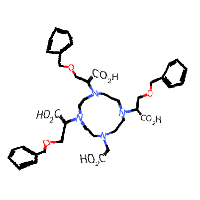 O=C(O)CN1CCN(C(COCc2ccccc2)C(=O)O)CCN(C(COCc2ccccc2)C(=O)O)CCN(C(COCc2ccccc2)C(=O)O)CC1